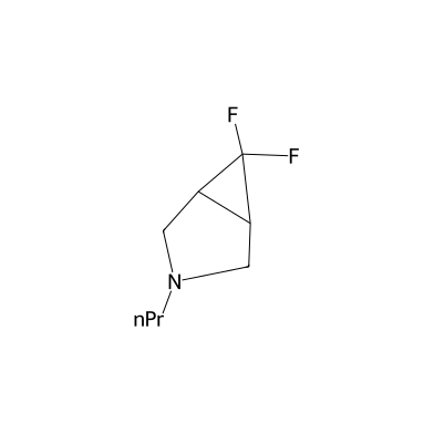 CCCN1CC2C(C1)C2(F)F